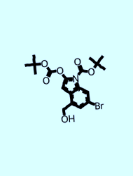 CC(C)(C)OC(=O)Oc1cc2c(CO)cc(Br)cc2n1C(=O)OC(C)(C)C